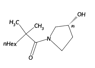 CCCCCCC(C)(C)C(=O)N1CC[C@@H](O)C1